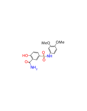 COc1ccc(NS(=O)(=O)c2ccc(O)c(C(N)=O)c2)cc1OC